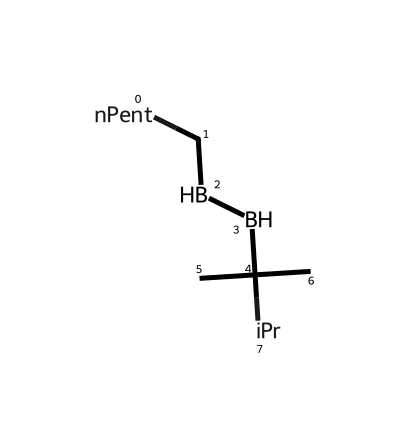 CCCCCCBBC(C)(C)C(C)C